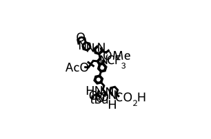 CO[C@@H](C)c1ncc(N2CCN3CCOCC3C2)cc1-c1c(CC(C)(C)COC(C)=O)c2cc(-c3cccc(CC(NC(=O)OC(C)(C)C)C(=O)N4CCCC(C(=O)O)N4)c3)ccc2n1CC(F)(F)F